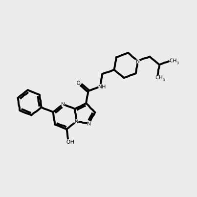 CC(C)CN1CCC(CNC(=O)c2cnn3c(O)cc(-c4ccccc4)nc23)CC1